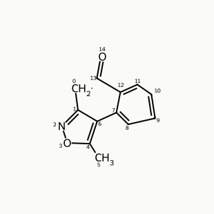 [CH2]c1noc(C)c1-c1ccccc1C=O